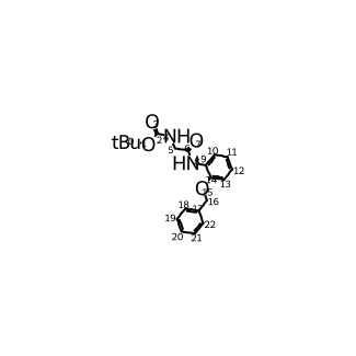 CC(C)(C)OC(=O)NCC(=O)Nc1ccccc1OCc1ccccc1